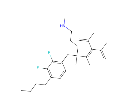 C=C(C)C(C(=C)C)=C(C)C(C)(CCCNC)Cc1ccc(CCCC)c(F)c1F